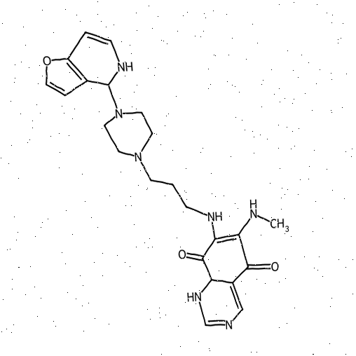 CNC1=C(NCCCN2CCN(C3NC=Cc4occc43)CC2)C(=O)C2NC=NC=C2C1=O